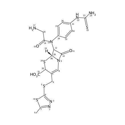 Cc1nnc(SCC2=CN3C(=O)C(N(C(=O)CN)c4ccc(NC(N)=S)cc4)[C@H]3SC2C(=O)O)s1